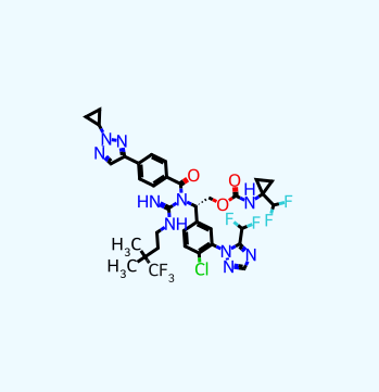 CC(C)(CCNC(=N)N(C(=O)c1ccc(-c2cnn(C3CC3)n2)cc1)[C@H](COC(=O)NC1(C(F)F)CC1)c1ccc(Cl)c(-n2ncnc2C(F)F)c1)C(F)(F)F